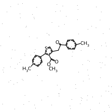 COC(=O)c1c(CC(=O)c2ccc(C)cc2)csc1-c1ccc(C)cc1